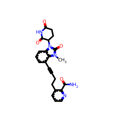 Cn1c(=O)n(C2CCC(=O)NC2=O)c2cccc(C#CCCc3cccnc3C(N)=O)c21